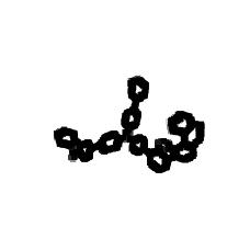 c1ccc(-c2ccc(N(c3ccc(-c4ccc5sc6ccccc6c5c4)cc3)c3ccc(-c4cccc5c4oc4c5ccc5ccc6ccccc6c54)cc3)cc2)cc1